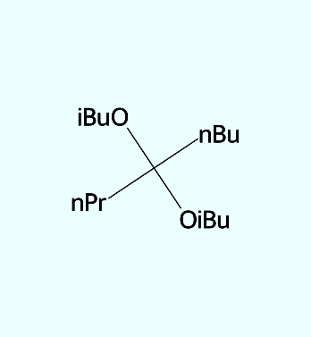 CCCCC(CCC)(OCC(C)C)OCC(C)C